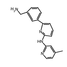 Cc1ccnc(Nc2cccc(-c3cccc(CN)c3)n2)c1